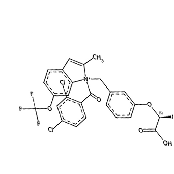 CC1=Cc2ccc(OC(F)(F)F)cc2[N+]1(Cc1cccc(O[C@@H](C)C(=O)O)c1)C(=O)c1ccc(Cl)cc1Cl